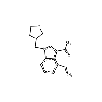 C=Cc1cccc2c1c(C(=O)C(F)(F)F)cn2CC1CCOC1